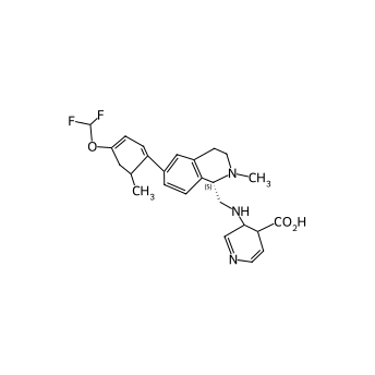 CC1CC(OC(F)F)=CC=C1c1ccc2c(c1)CCN(C)[C@@H]2CNC1C=NC=CC1C(=O)O